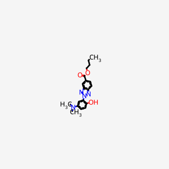 CCCCOC(=O)c1ccc2nn(-c3cc(N(C)C)ccc3O)nc2c1